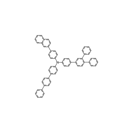 c1ccc(-c2ccc(-c3ccc(N(c4ccc(-c5ccc(-c6ccccc6)c(-c6ccccc6)c5)cc4)c4ccc(-c5ccc6ccccc6c5)cc4)cc3)cc2)cc1